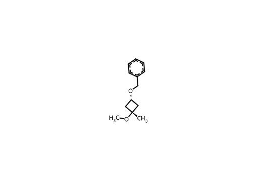 CO[C@]1(C)C[C@H](OCc2ccccc2)C1